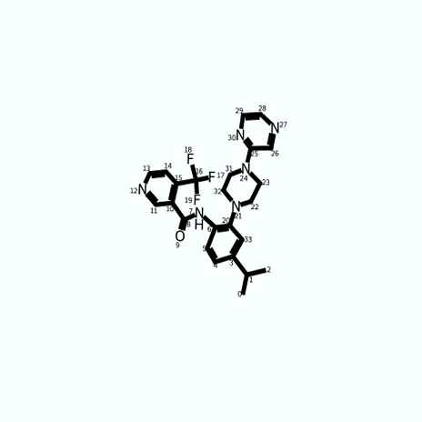 CC(C)c1ccc(NC(=O)c2cnccc2C(F)(F)F)c(N2CCN(c3cnccn3)CC2)c1